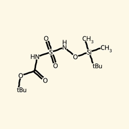 CC(C)(C)OC(=O)NS(=O)(=O)NO[Si](C)(C)C(C)(C)C